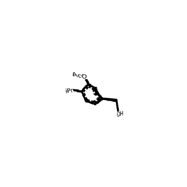 CC(=O)Oc1cc(CO)ccc1C(C)C